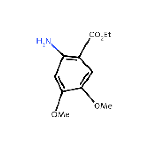 CCOC(=O)c1cc(OC)c(OC)cc1N